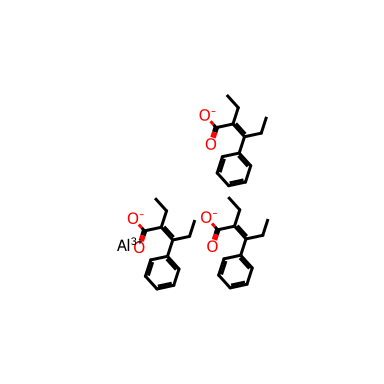 CCC(C(=O)[O-])=C(CC)c1ccccc1.CCC(C(=O)[O-])=C(CC)c1ccccc1.CCC(C(=O)[O-])=C(CC)c1ccccc1.[Al+3]